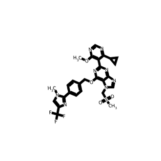 COc1ncnc(C2CC2)c1-c1nc(OCc2ccc(-c3nc(C(F)(F)F)cn3C)cc2)c2c(ncn2CS(C)(=O)=O)n1